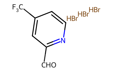 Br.Br.Br.O=Cc1cc(C(F)(F)F)ccn1